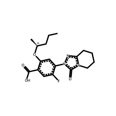 CCC[C@H](C)Oc1cc(-n2nc3n(c2=O)CCCC3)c(F)cc1C(=O)O